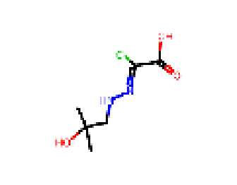 CC(C)(O)CNN=C(Cl)C(=O)O